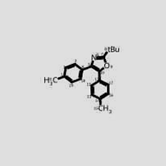 Cc1ccc(-c2nc(C(C)(C)C)oc2-c2ccc(C)cc2)cc1